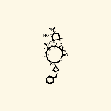 CO[C@]1(C)C[C@@H](C)CN(C)[C@H](C2CN(Cc3ccccc3)C2)COC(=O)C(C)(C)C(=O)[C@H](C)[C@H]1O[C@@H]1O[C@H](C)C[C@H](N(C)C)[C@H]1O